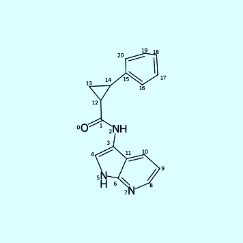 O=C(Nc1c[nH]c2ncccc12)C1CC1c1ccccc1